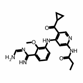 CCC(=O)Nc1cc(Nc2cccc(C(=N)/N=C\N)c2OC)c(C(=O)C2CC2)cn1